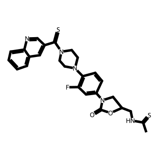 CC(=S)NCC1CN(c2ccc(N3CCN(C(=S)c4cnc5ccccc5c4)CC3)c(F)c2)C(=O)O1